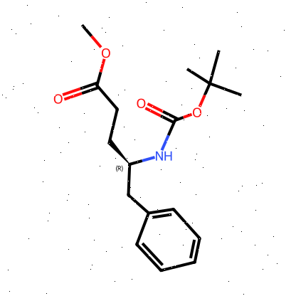 COC(=O)CC[C@H](Cc1ccccc1)NC(=O)OC(C)(C)C